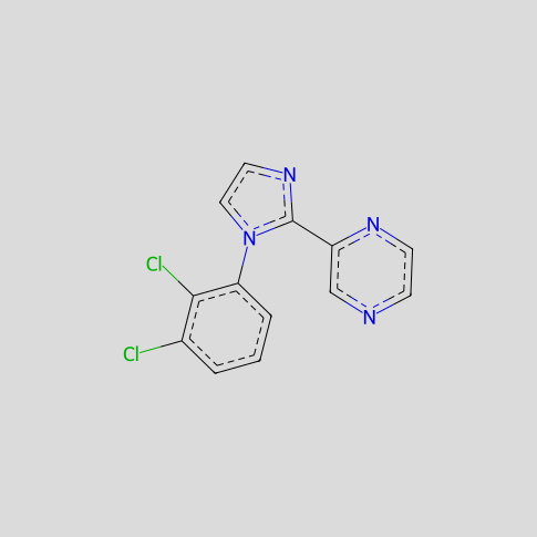 Clc1cccc(-n2ccnc2-c2cnccn2)c1Cl